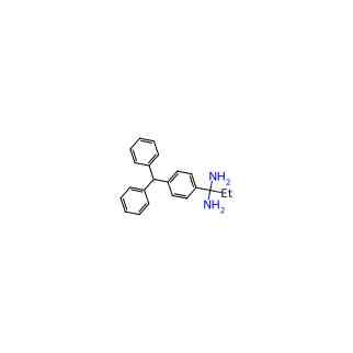 CCC(N)(N)c1ccc([C](c2ccccc2)c2ccccc2)cc1